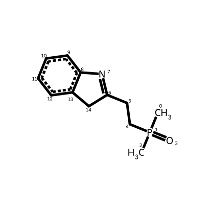 CP(C)(=O)CCC1=Nc2ccccc2C1